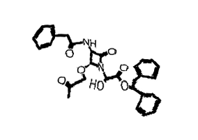 CC(=O)CO[C@H]1[C@@H](NC(=O)Cc2ccccc2)C(=O)N1C(O)C(=O)OC(c1ccccc1)c1ccccc1